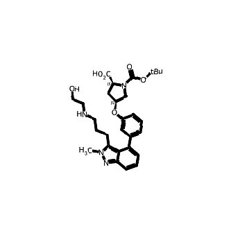 Cn1nc2cccc(-c3cccc(O[C@H]4C[C@@H](C(=O)O)N(C(=O)OC(C)(C)C)C4)c3)c2c1CCCNCCO